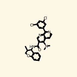 CC1COc2ccccc2C1NC(=O)c1cnc2c(-c3cc(Cl)cc(Cl)c3)nccc2c1N(C)C